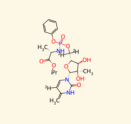 [2H]C1=CN([C@@H]2O[C@H](C([2H])([2H])O[P@@](=O)(N[C@@H](C)C(=O)OC(C)C)Oc3ccccc3)[C@@H](O)[C@@]2(C)O)C(=O)NC1=C